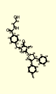 Cc1ccc(C2=NN(c3nn(Cc4ccc(C(=O)NCCO)cc4)c(=O)n3C)CC2c2ccccc2)cc1